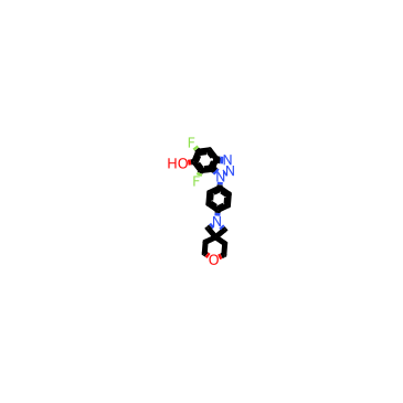 Oc1c(F)cc2nnn(-c3ccc(N4CC5(CCOCC5)C4)cc3)c2c1F